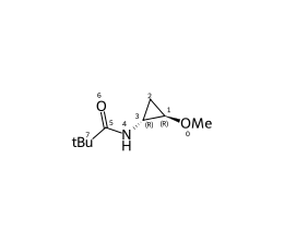 CO[C@@H]1C[C@H]1NC(=O)C(C)(C)C